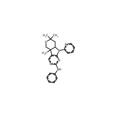 CC1(C)CC2N(c3ccccn3)c3nc(Nc4ccccc4)ncc3C2(C)CO1